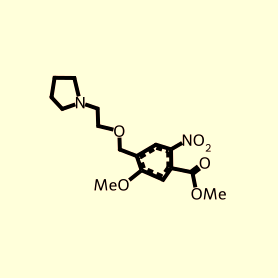 COC(=O)c1cc(OC)c(COCCN2CCCC2)cc1[N+](=O)[O-]